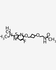 CCN(CC)c1nc2cc(F)c(OCC3CC(OCCNC(C)=O)C3)nc2s1